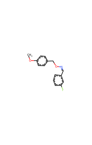 COc1ccc(CO/N=[C]\c2cccc(F)c2)cc1